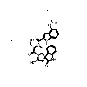 CC(C)C[C@@H](C(=O)N1C[C@]2(C[C@H]1C#N)C(=O)Nc1ccccc12)N(C)C(=O)c1cc2c(OC(F)(F)F)cccc2[nH]1